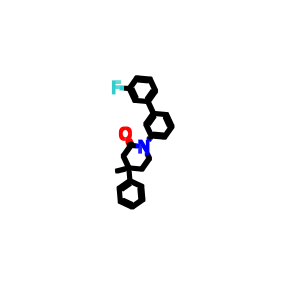 CC1(c2ccccc2)CCN(c2cccc(-c3cccc(F)c3)c2)C(=O)C1